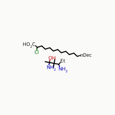 CCC(N)C(C)(C)C(C)(N)O.CCCCCCCCCCCCCCCCCCCCC(Cl)C(=O)O